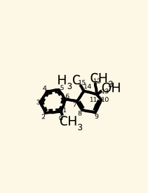 Cc1ccccc1C1=CC=CC(C)(O)C1C